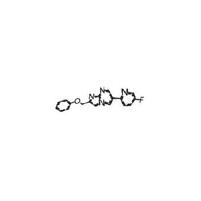 Fc1ccc(-c2cnc3nc(COc4ccccc4)cn3c2)nc1